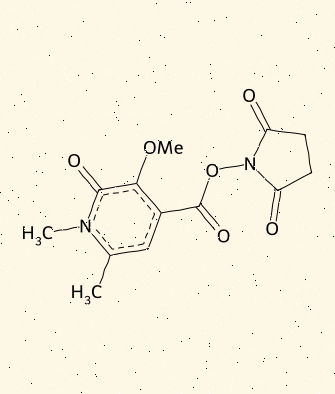 COc1c(C(=O)ON2C(=O)CCC2=O)cc(C)n(C)c1=O